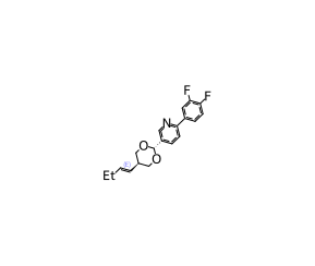 CC/C=C/[C@H]1CO[C@H](c2ccc(-c3ccc(F)c(F)c3)nc2)OC1